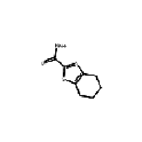 CNC(=O)c1nc2c(s1)CCCC2